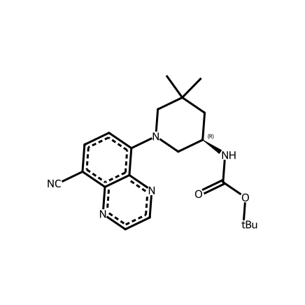 CC1(C)C[C@@H](NC(=O)OC(C)(C)C)CN(c2ccc(C#N)c3nccnc23)C1